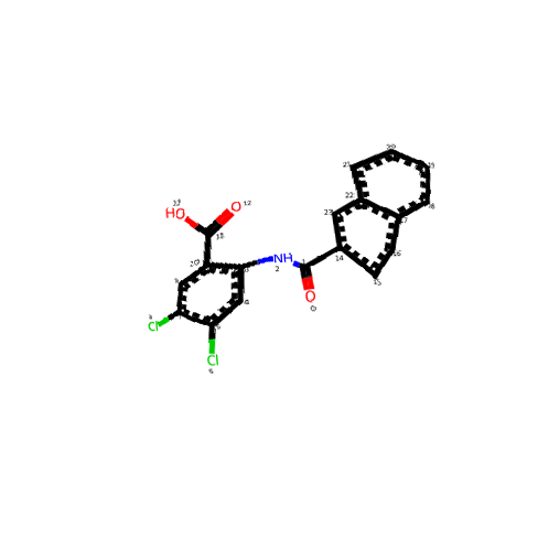 O=C(Nc1cc(Cl)c(Cl)cc1C(=O)O)c1ccc2ccccc2c1